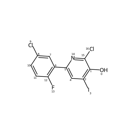 Oc1c(I)cc(-c2cc(Cl)ccc2F)nc1Cl